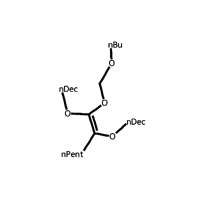 CCCCCCCCCCOC(CCCCC)=C(OCCCCCCCCCC)OCOCCCC